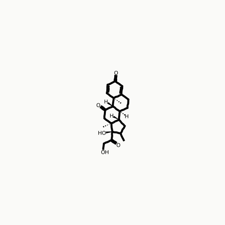 CC1C[C@H]2[C@@H]3CCC4=CC(=O)C=C[C@]4(C)[C@H]3C(=O)C[C@]2(C)[C@@]1(O)C(=O)CO